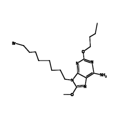 CCCCOc1nc(N)c2nc(OC)n(CCCCCCCCBr)c2n1